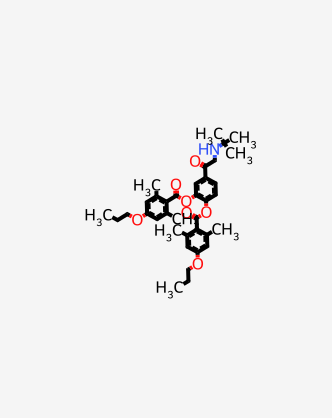 CCCOc1cc(C)c(C(=O)Oc2ccc(C(=O)CNC(C)(C)C)cc2OC(=O)c2c(C)cc(OCCC)cc2C)c(C)c1